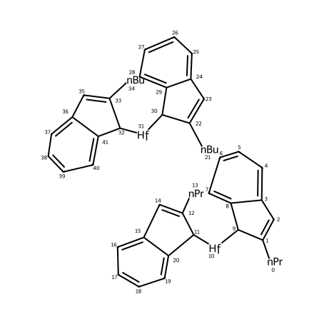 CCCC1=Cc2ccccc2[CH]1[Hf][CH]1C(CCC)=Cc2ccccc21.CCCCC1=Cc2ccccc2[CH]1[Hf][CH]1C(CCCC)=Cc2ccccc21